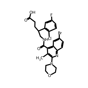 Cc1c(N2CCOCC2)nc2ccc(Br)cc2c1C(=O)NCC(CCC(=O)O)c1cc(F)ccc1Cl